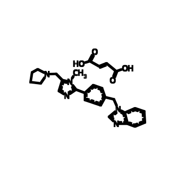 Cn1c(CN2CCCC2)cnc1-c1ccc(Cn2cnc3ccccc32)cc1.O=C(O)C=CC(=O)O